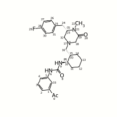 CC(=O)c1cccc(NC(=O)N[C@@H]2CCCC[C@H]2CN2CC(=O)N(C)[C@@H](Cc3ccc(F)cc3)C2)c1